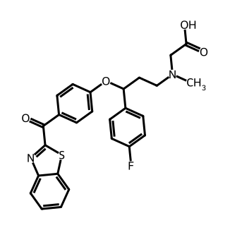 CN(CCC(Oc1ccc(C(=O)c2nc3ccccc3s2)cc1)c1ccc(F)cc1)CC(=O)O